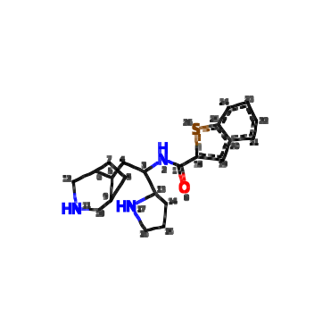 O=C(NC(CC1C2CCC1CNC2)C1CCCN1)c1cc2ccccc2s1